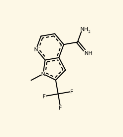 Cn1c(C(F)(F)F)cc2c(C(=N)N)ccnc21